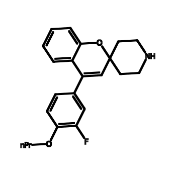 CCCOc1ccc(C2=CC3(CCNCC3)Oc3ccccc32)cc1F